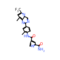 Cc1cc(-c2ncc3nc(C(F)(F)F)cc(C)c3n2)ccc1NC(=O)c1ccnc(C(N)=O)c1